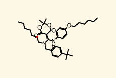 CCCCCCCN(Cc1ccc(C(C)(C)C)cc1)C(Nc1ccc(OCCCCCC)cc1)=C1C(=O)OC(C)(C)OC1=O